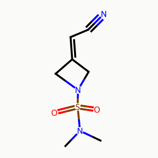 CN(C)S(=O)(=O)N1CC(=CC#N)C1